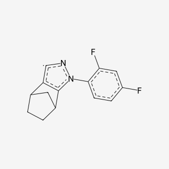 Fc1ccc(-n2n[c]c3c2C2CCC3C2)c(F)c1